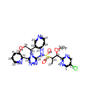 CC(C)OC(c1ncc(Cl)cn1)C(C)S(=O)(=O)Nc1nnc2n1[C@H](c1cccnc1)COc1cccnc1-2